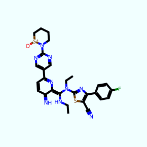 CCN/C(=C1/N=C(c2cnc(N3CCCC[S+]3[O-])nc2)C=CC1=N)N(CC)c1nc(-c2ccc(F)cc2)c(C#N)s1